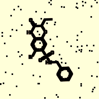 CCC1Oc2cc(S(=O)(=O)NCc3ccccc3)c(Br)cc2NC1=O